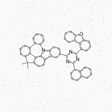 CC1(C)c2cccc3c2-c2c1ccc1c4cc(-c5nc(-c6cccc7ccccc67)nc(-c6cccc7oc8ccccc8c67)n5)ccc4n(c21)-c1ccccc1-3